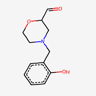 O=CC1CN(Cc2ccccc2O)CCO1